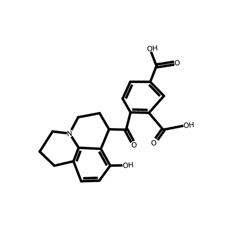 O=C(O)c1ccc(C(=O)C2CCN3CCCc4ccc(O)c2c43)c(C(=O)O)c1